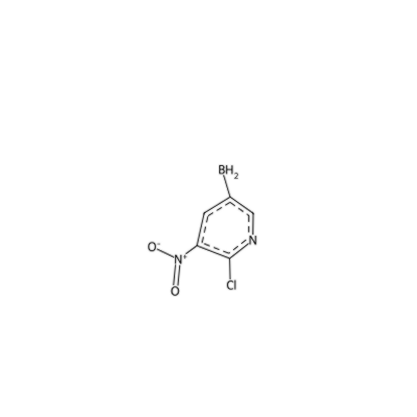 Bc1cnc(Cl)c([N+](=O)[O-])c1